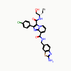 CC(C)C[C@@H](CO)NC(=O)c1c(-c2ccc(Cl)cc2)nc2c(C(=O)NCc3ccc4nc(N)sc4c3)cccn12